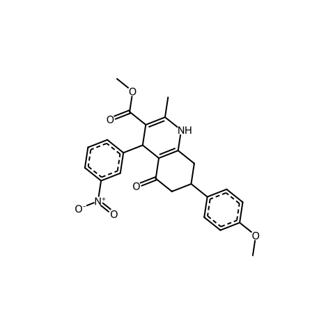 COC(=O)C1=C(C)NC2=C(C(=O)CC(c3ccc(OC)cc3)C2)C1c1cccc([N+](=O)[O-])c1